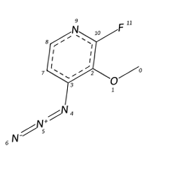 COc1c(N=[N+]=[N-])ccnc1F